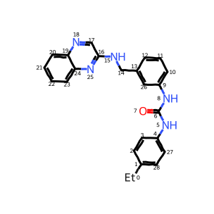 CCc1ccc(NC(=O)Nc2cccc(CNc3cnc4ccccc4n3)c2)cc1